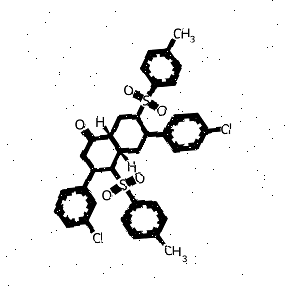 Cc1ccc(S(=O)(=O)C2C[C@H]3C(=O)CC(c4cccc(Cl)c4)C(S(=O)(=O)c4ccc(C)cc4)[C@H]3CC2c2ccc(Cl)cc2)cc1